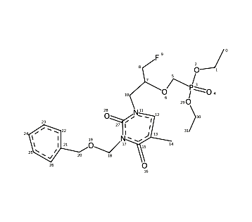 CCOP(=O)(COC(CF)Cn1cc(C)c(=O)n(COCc2ccccc2)c1=O)OCC